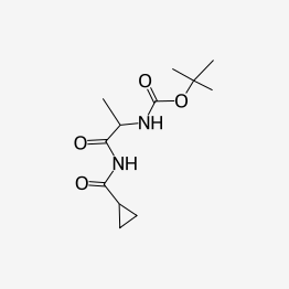 CC(NC(=O)OC(C)(C)C)C(=O)NC(=O)C1CC1